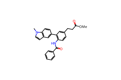 COC(=O)CCc1ccc(NC(=O)c2ccccc2)c(-c2ccc3c(ccn3C)c2)c1